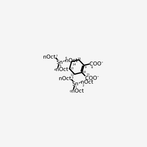 CCCCCCC[CH2][Sn+]([CH2]CCCCCCC)[CH2]CCCCCCC.CCCCCCC[CH2][Sn+]([CH2]CCCCCCC)[CH2]CCCCCCC.O=C([O-])C1=C(C(=O)[O-])CCCC1